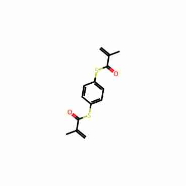 C=C(C)C(=O)Sc1ccc(SC(=O)C(=C)C)cc1